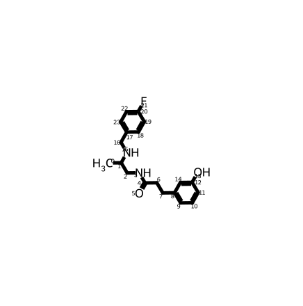 CC(CNC(=O)CCc1cccc(O)c1)NCc1ccc(F)cc1